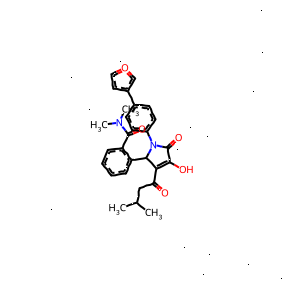 CC(C)CC(=O)C1=C(O)C(=O)N(c2ccc(-c3ccoc3)cc2)C1c1ccccc1C(=O)N(C)C